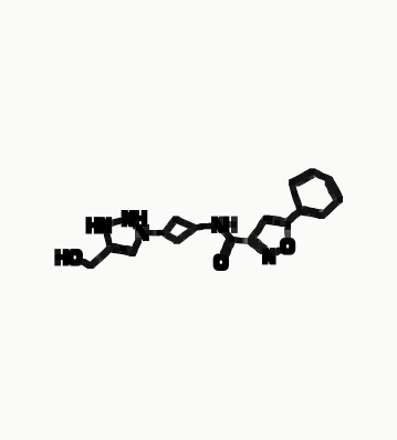 O=C(NC1CC(N2C=C(CO)NN2)C1)c1cc(-c2ccccc2)on1